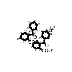 O=C([O-])c1ccccc1C(=O)c1ccccc1.O=C([O-])c1ccccc1C(=O)c1ccccc1.[Li+].[Li+]